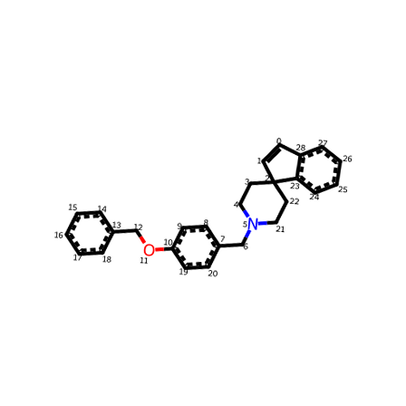 C1=CC2(CCN(Cc3ccc(OCc4ccccc4)cc3)CC2)c2ccccc21